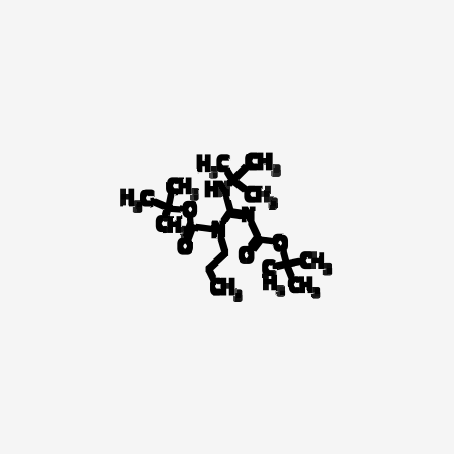 CCCN(C(=O)OC(C)(C)C)C(=NC(=O)OC(C)(C)C)NC(C)(C)C